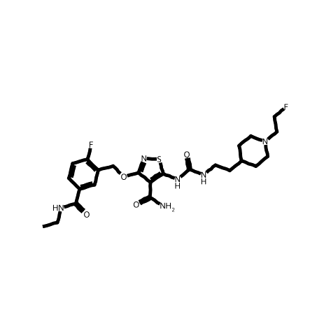 CCNC(=O)c1ccc(F)c(COc2nsc(NC(=O)NCCC3CCN(CCF)CC3)c2C(N)=O)c1